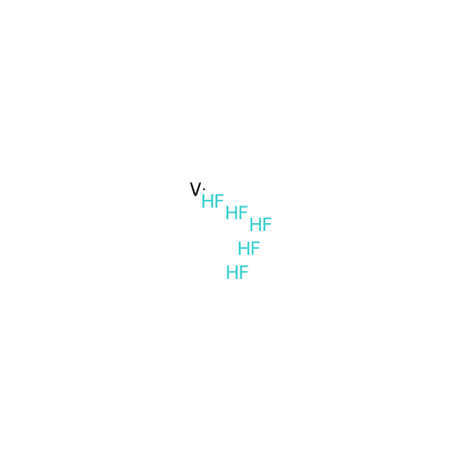 F.F.F.F.F.[V]